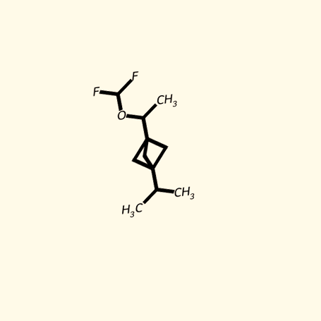 CC(C)C12CC(C(C)OC(F)F)(C1)C2